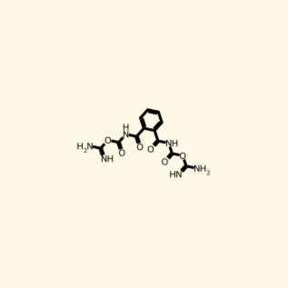 N=C(N)OC(=O)NC(=O)c1ccccc1C(=O)NC(=O)OC(=N)N